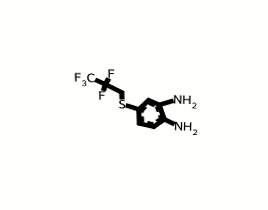 Nc1ccc(SCC(F)(F)C(F)(F)F)cc1N